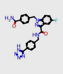 NC(=O)c1ccc(Cn2nc(C(=O)NCc3ccc(-c4nnn[nH]4)cc3)c3cc(F)ccc32)cc1